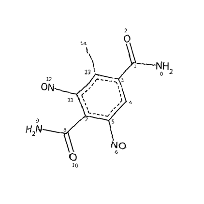 NC(=O)c1cc(N=O)c(C(N)=O)c(N=O)c1I